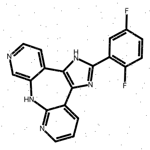 Fc1ccc(F)c(-c2nc3c([nH]2)-c2ccncc2Nc2ncccc2-3)c1